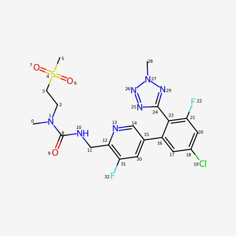 CN(CCS(C)(=O)=O)C(=O)NCc1ncc(-c2cc(Cl)cc(F)c2-c2nnn(C)n2)cc1F